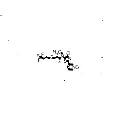 CCN(C(=S)CCSCCCC(F)(F)F)c1sc(-c2ccc[n+]([O-])c2)nc1Cl